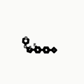 Fc1cc(-c2ccc(C3CCC3)cc2)ccc1-c1ccc(OC2CCOCC2)s1